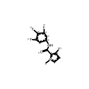 Cn1ccc(F)c1C(=O)Nc1cc(F)c(F)c(F)c1